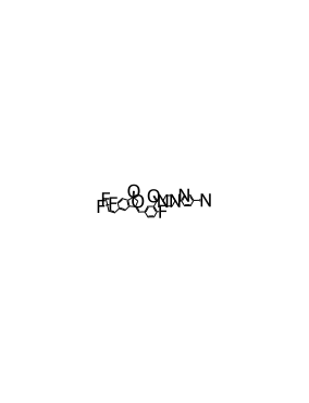 N#Cc1ccc(N2CCN(C(=O)c3cc(C=C4OC(=O)c5ccc(/C=C\C(F)(F)F)cc54)ccc3F)CC2)nc1